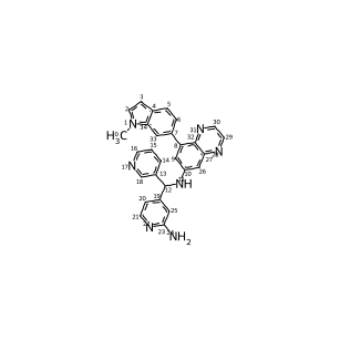 Cn1ccc2ccc(-c3cc(NC(c4cccnc4)c4ccnc(N)c4)cc4nccnc34)cc21